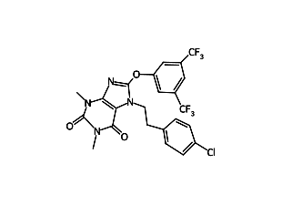 Cn1c(=O)c2c(nc(Oc3cc(C(F)(F)F)cc(C(F)(F)F)c3)n2CCc2ccc(Cl)cc2)n(C)c1=O